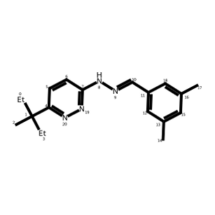 CCC(C)(CC)c1ccc(NN=Cc2cc(C)cc(C)c2)nn1